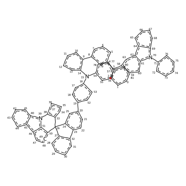 c1ccc(-c2cccc(-c3ccccc3N(c3ccc(-c4ccc5c(c4)C4(c6ccccc6-5)c5ccccc5-n5c6ccccc6c6cccc4c65)cc3)c3ccc(-c4ccc5c(c4)c4ccccc4n5-c4ccccc4)cc3)c2)cc1